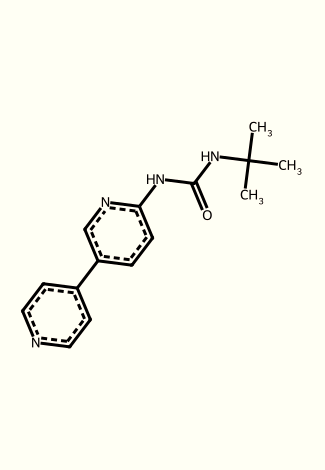 CC(C)(C)NC(=O)Nc1ccc(-c2ccncc2)cn1